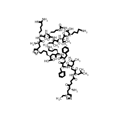 CCC(C)[C@@H](NC(=O)[C@@H](CCCNC(N)=O)NC(=O)[C@@H](CCCCC(=N)N)NC(=O)[C@H](N)Cc1cnnn1CCCC[C@@H](CC(=O)[C@@H](CCCCN)NC(=O)[C@H](CC(=O)[C@@H](Cc1ccccc1)NC(=O)[C@H](CC(=O)[C@@H](CC(C)C)NC(=O)CCC(=O)[C@H](N)Cc1cnnn1CC)CC(C)C)Cc1ccccc1)C(=O)O)C(=O)N[C@@H](C(=O)N[C@H](CCCCN)C(=O)O)C(C)C